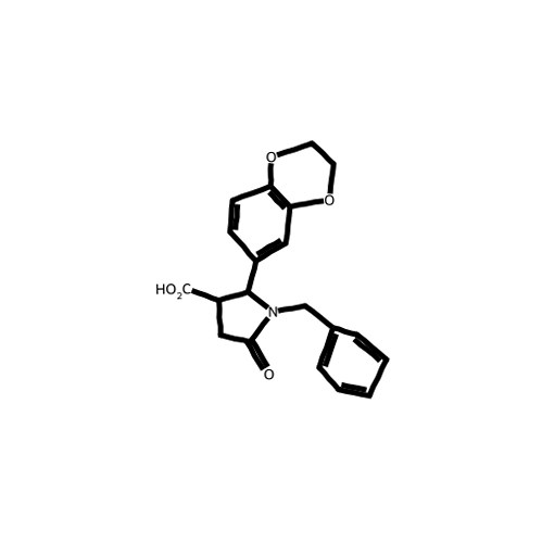 O=C(O)C1CC(=O)N(Cc2ccccc2)C1c1ccc2c(c1)OCCO2